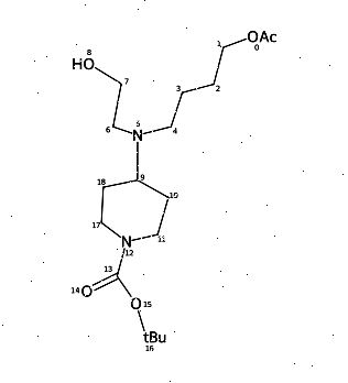 CC(=O)OCCCCN(CCO)C1CCN(C(=O)OC(C)(C)C)CC1